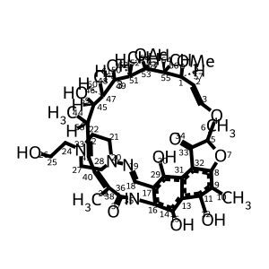 CO[C@H]1/C=C/O[C@@]2(C)Oc3c(C)c(O)c4c(O)c(c(/C=N/N5CCN(CCO)CC5)c(O)c4c3C2=O)NC(=O)/C(C)=C\C=C\[C@H](C)[C@H](O)[C@@H](C)[C@@H](O)[C@@H](C)[C@H](OC(C)=O)[C@@H]1C